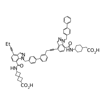 CCC#Cc1ccc(C(=O)NC2CC3(C2)CC(C(=O)O)C3)c2c1cnn2Cc1ccc(-c2cccc(CC#Cc3ccc(C(=O)NC4CCC(CC(=O)O)CC4)c4c3cnn4Cc3ccc(-c4ccccc4)cc3)c2)cc1